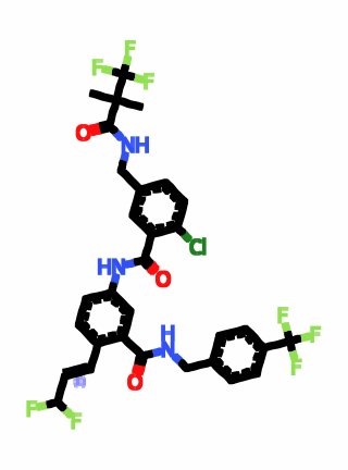 CC(C)(C(=O)NCc1ccc(Cl)c(C(=O)Nc2ccc(/C=C/C(F)F)c(C(=O)NCc3ccc(C(F)(F)F)cc3)c2)c1)C(F)(F)F